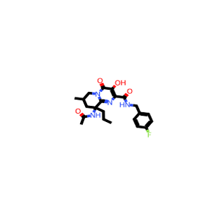 CCCC1(NC(C)=O)CC(C)Cn2c1nc(C(=O)NCc1ccc(F)cc1)c(O)c2=O